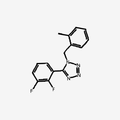 Cc1ccccc1Cn1nnnc1-c1cccc(F)c1F